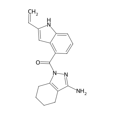 C=Cc1cc2c(C(=O)n3nc(N)c4c3CCCC4)cccc2[nH]1